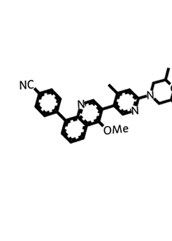 COc1c(-c2cnc(N3CC(C)OC(C)C3)cc2C)cnc2c(-c3ccc(C#N)cc3)cccc12